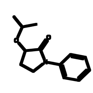 CC(C)OC1CCN(c2ccccc2)C1=O